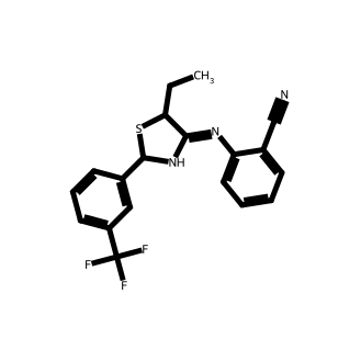 CCC1SC(c2cccc(C(F)(F)F)c2)NC1=Nc1ccccc1C#N